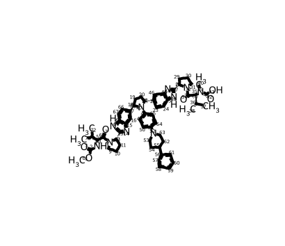 COC(=O)N[C@H](C(=O)N1CCC[C@H]1c1nc2cc([C@H]3CC[C@H](c4ccc5[nH]c([C@@H]6CCCN6C(=O)[C@H](C(C)C)N(C)C(=O)O)nc5c4)N3c3ccc(N4CCC(c5ccccc5)CC4)cc3)ccc2[nH]1)C(C)C